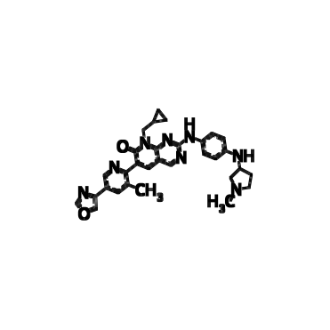 Cc1cc(-c2cocn2)cnc1-c1cc2cnc(Nc3ccc(NC4CCN(C)C4)cc3)nc2n(CC2CC2)c1=O